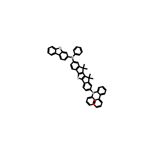 CC1(C)c2cc(N(c3ccccc3)c3ccc4c(c3)oc3ccccc34)ccc2-c2sc3c(c21)C(C)(C)c1cc(N(c2ccccc2)c2ccccc2-c2ccccc2)ccc1-3